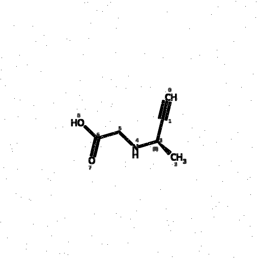 C#C[C@@H](C)NCC(=O)O